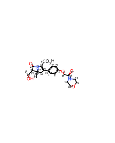 C[C@@H](O)[C@H]1C(=O)N2C(C(=O)O)=C(c3ccc(OCC(=O)N4CCOCC4)cc3)C[C@H]12